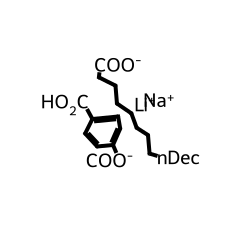 CCCCCCCCCCCCCCCCCC(=O)[O-].O=C([O-])c1ccc(C(=O)O)cc1.[Li+].[Na+]